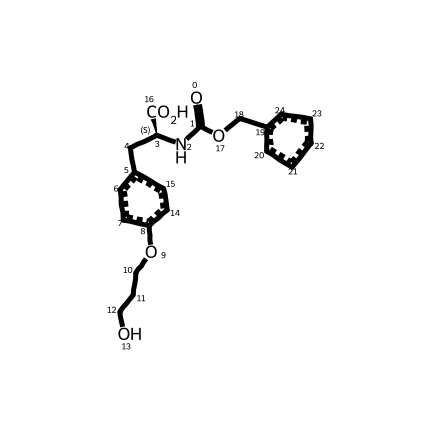 O=C(N[C@@H](Cc1ccc(OCCCO)cc1)C(=O)O)OCc1ccccc1